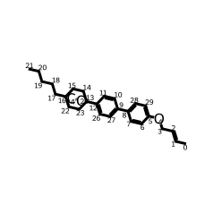 CC=CCOc1ccc(-c2ccc(C34CCC(CCCCC)(CC3)CC4)cc2)cc1